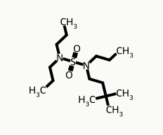 CCCN(CCC)S(=O)(=O)N(CCC)CCC(C)(C)C